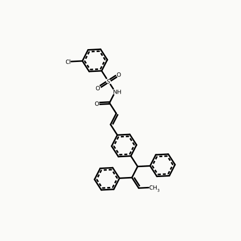 CC=C(c1ccccc1)C(c1ccccc1)c1ccc(C=CC(=O)NS(=O)(=O)c2cccc(Cl)c2)cc1